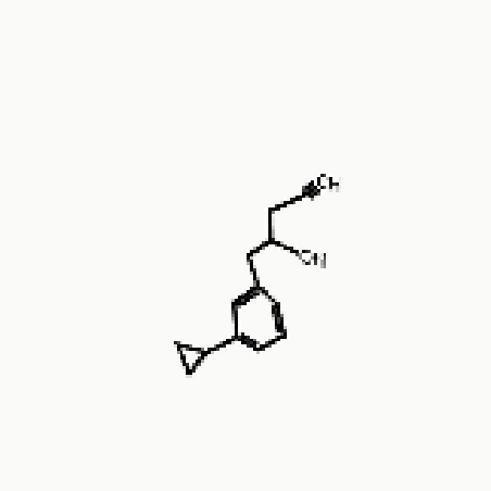 C#CCC(O)Cc1cccc(C2CC2)c1